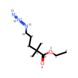 CCOC(=O)C(C)(C)CCCN=[N+]=[N-]